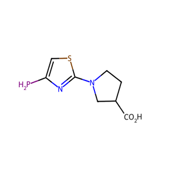 O=C(O)C1CCN(c2nc(P)cs2)C1